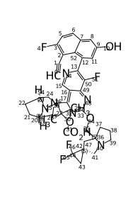 C#Cc1c(F)ccc2cc(O)cc(-c3ncc4c(N5C[C@H]6CC[C@@H](C5)N6CC(C)(C)OC(=O)O)nc(OC[C@@]56CCCN5C[C@@]5(CC5(F)F)C6)nc4c3F)c12